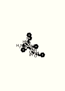 CC(C)[C@H](NC(=O)OCc1ccccc1)C(=O)NN(Cc1ccccc1)C[C@H](O)[C@H](Cc1ccccc1)NC(=O)[C@H](CC(N)=O)NC(=O)c1ccc2ccccc2n1